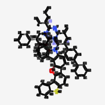 C=C/C=C(\C=C)c1nc(C(=C)/C=C(\C(=C\C2=CC[C@@H](c3ccccc3)C=C2)n2c3ccccc3c3c4oc5c(ccc6sc7ccccc7c65)c4ccc32)c2ccc(-c3ccccc3)cc2)nc(-c2ccccc2)n1